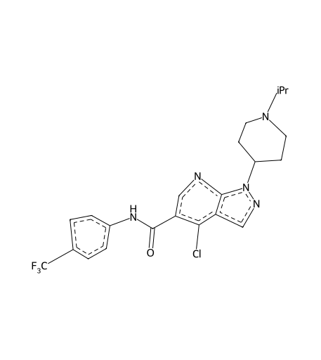 CC(C)N1CCC(n2ncc3c(Cl)c(C(=O)Nc4ccc(C(F)(F)F)cc4)cnc32)CC1